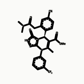 COC(=O)C1=C(C)N(c2cccc(C(F)(F)F)c2)c2n[nH]c(=O)n2[C@@H]1c1ccc(C#N)cc1CC(=O)N(C)C